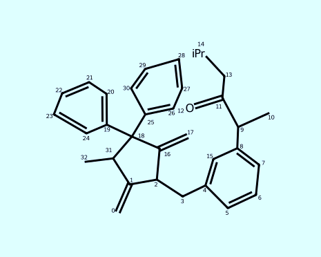 C=C1C(Cc2cccc(C(C)C(=O)CC(C)C)c2)C(=C)C(c2ccccc2)(c2ccccc2)C1C